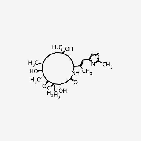 C/C(=C\c1csc(C)n1)[C@@H]1CC[C@](C)(O)CCC[C@H](C)[C@H](O)[C@@H](C)C(=O)C(C)(C)[C@@H](O)CC(=O)N1